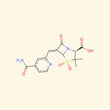 CC1(C)[C@H](C(=O)O)N2C(=O)/C(=C/c3cc(C(N)=O)ccn3)C2S1(=O)=O